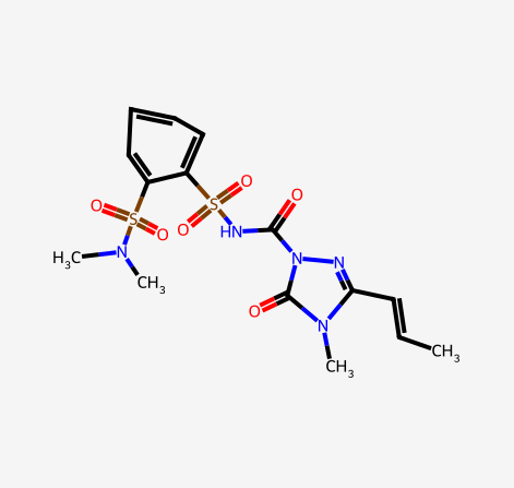 CC=Cc1nn(C(=O)NS(=O)(=O)c2ccccc2S(=O)(=O)N(C)C)c(=O)n1C